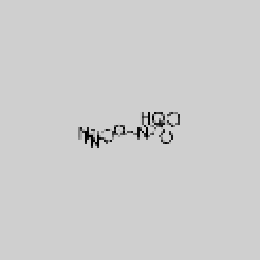 [N-]=[N+]=Nc1ccc(OCCCN2CCC(C(O)(c3ccccc3)c3ccccc3)CC2)cc1